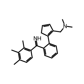 Cc1ccc(C(=N)c2ccccc2C2=C(CN(C)C)C=CC2)c(C)c1C